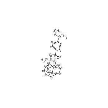 CCC(C)c1ccc(C(=O)OC(C)(C)C23CC4CC5C6CC(CC52)CC3C6C4)cc1